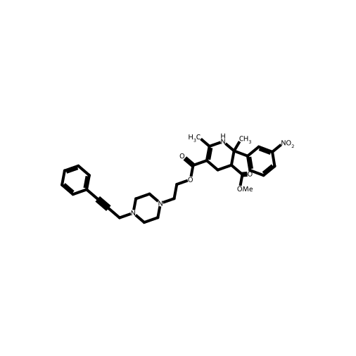 COC(=O)C1CC(C(=O)OCCN2CCN(CC#Cc3ccccc3)CC2)=C(C)NC1(C)c1cccc([N+](=O)[O-])c1